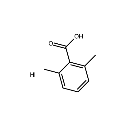 Cc1cccc(C)c1C(=O)O.I